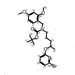 COc1ccc(CN(CCCC(C)Oc2cccc(Br)n2)C(=O)OC(C)(C)C)c(OC)c1